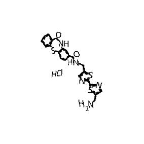 Cl.NCc1cnc(-c2ncc(CNC(=O)c3ccc4c(c3)NC(=O)c3ccccc3S4)s2)s1